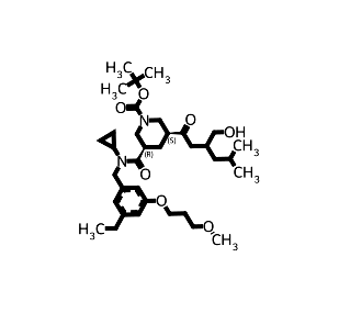 CCc1cc(CN(C(=O)[C@@H]2C[C@H](C(=O)CC(CO)CC(C)C)CN(C(=O)OC(C)(C)C)C2)C2CC2)cc(OCCCOC)c1